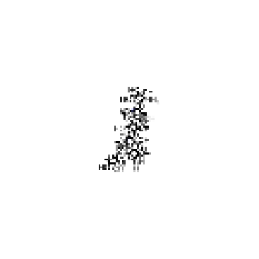 CC(=O)N/C(=C(\O)C(CCO)OC1OC(CO)C(O)C(O)C1N)C(O)OC1C(CO)OC(OC(CCO)/C(O)=C(/NC(C)=O)C(O)OC2C(COOC3OC(C)C(O)C(O)C3O)OC(O)C(NC(C)=O)C2O)C(NC(C)=O)C1O